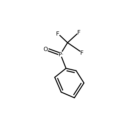 O=[P](c1ccccc1)C(F)(F)F